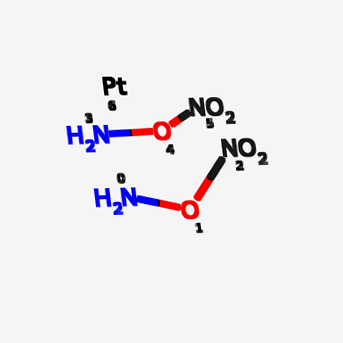 NO[N+](=O)[O-].NO[N+](=O)[O-].[Pt]